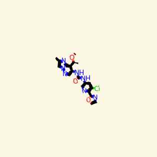 CO[C@@H](C)c1c(NC(=O)Nc2cnc(-c3ncco3)c(Cl)c2)cnn2cc(C)nc12